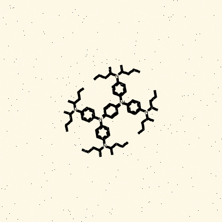 CCCC(C)N(c1ccc([N+](=C2C=CC(=[N+](c3ccc(N(C(C)CCC)C(C)CCC)cc3)c3ccc(N(C(C)CCC)C(C)CCC)cc3)C=C2)c2ccc(N(C(C)CCC)C(C)CCC)cc2)cc1)C(C)CCC